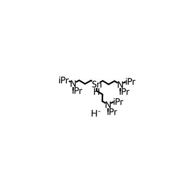 CC(C)N(CC[CH2][SnH]([CH2]CCN(C(C)C)C(C)C)[CH2]CCN(C(C)C)C(C)C)C(C)C.[H-]